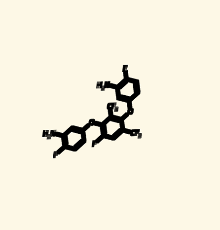 Nc1cc(Oc2c(F)cc(C(F)(F)F)c(Oc3ccc(F)c(N)c3)c2C(F)(F)F)ccc1F